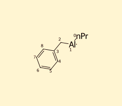 CC[CH2][Al][CH2]c1ccccc1